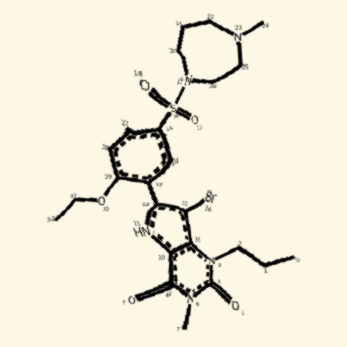 CCCn1c(=O)n(C)c(=O)c2[nH]c(-c3cc(S(=O)(=O)N4CCCN(C)CC4)ccc3OCC)c(Br)c21